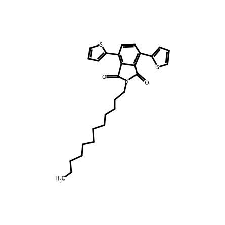 CCCCCCCCCCCCN1C(=O)c2c(-c3cccs3)ccc(-c3cccs3)c2C1=O